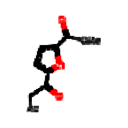 COC(=O)c1ccc(C(=O)CC(C)=O)o1